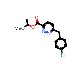 COC(C)OC(=O)c1ccc(Cc2ccc(Cl)cc2)nn1